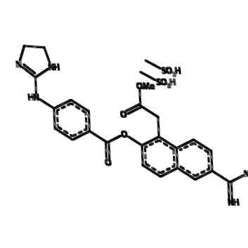 COC(=O)Cc1c(OC(=O)c2ccc(NC3=NCCN3)cc2)ccc2cc(C(=N)N)ccc12.CS(=O)(=O)O.CS(=O)(=O)O